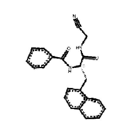 N#CCNC(=O)[C@H](Cc1cccc2ccccc12)NC(=O)c1ccccc1